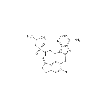 CC(C)CS(=O)(=O)NCCn1c(Sc2cc3c(cc2I)CCC3=O)nc2c(N)ncnc21